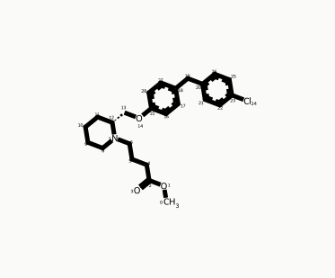 COC(=O)CCCN1CCCC[C@@H]1COc1ccc(Cc2ccc(Cl)cc2)cc1